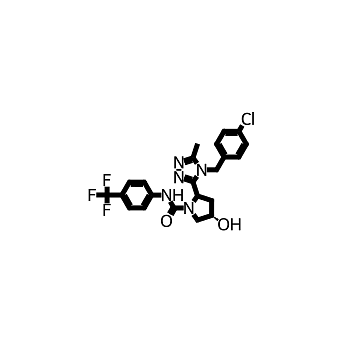 Cc1nnc(C2C[C@H](O)CN2C(=O)Nc2ccc(C(F)(F)F)cc2)n1Cc1ccc(Cl)cc1